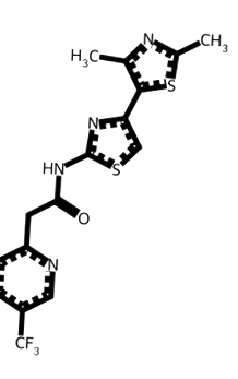 Cc1nc(C)c(-c2csc(NC(=O)Cc3ccc(C(F)(F)F)cn3)n2)s1